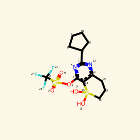 O=S(=O)(Oc1nc(C2CCCC2)nc2c1S(O)(O)CCC2)C(F)(F)F